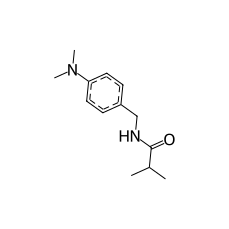 CC(C)C(=O)NCc1ccc(N(C)C)cc1